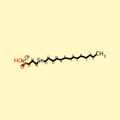 CCCCCCCCCCCCCC[Se]CCCS(=O)(=O)O